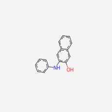 Oc1cc2ccccc2cc1Nc1ccccc1